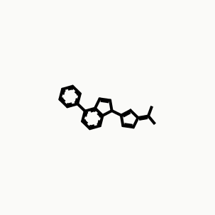 CC(C)=C1[C]=C(C2C=Cc3c(-c4ccccc4)cccc32)C=C1